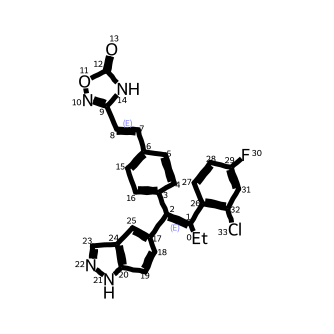 CC/C(=C(/c1ccc(/C=C/c2noc(=O)[nH]2)cc1)c1ccc2[nH]ncc2c1)c1ccc(F)cc1Cl